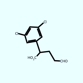 O=CCCC(C(=O)O)c1cc(Cl)cc(Cl)c1